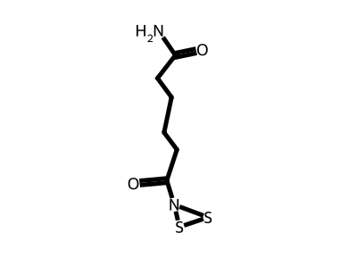 NC(=O)CCCCC(=O)n1ss1